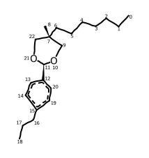 CCCCCCC[C@]1(C)CO[C@@H](c2ccc(CCC)cc2)OC1